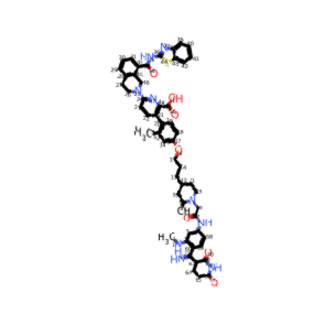 CNc1cc(NC(=O)CN2CCC(CCCOc3ccc(-c4ccc(N5CCc6cccc(C(=O)Nc7nc8ccccc8s7)c6C5)nc4C(=O)O)c(C)c3)CC2C)ccc1C(=N)C1CCC(=O)NC1=O